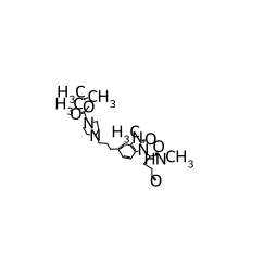 CNC(=O)C(CCC=O)n1c(=O)n(C)c2cc(CCCN3CCN(C(=O)OC(C)(C)C)CC3)ccc21